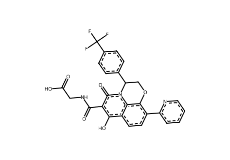 O=C(O)CNC(=O)c1c(O)c2ccc(-c3ccccn3)c3c2n(c1=O)C(c1ccc(C(F)(F)F)cc1)CO3